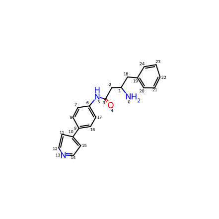 NC(CC(=O)Nc1ccc(-c2ccncc2)cc1)Cc1ccccc1